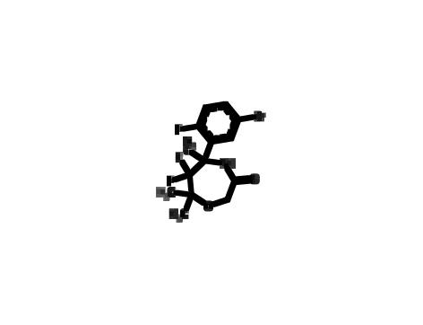 CC1(C)OCC(=O)NC(C)(c2cc(Br)ccc2F)C1(F)F